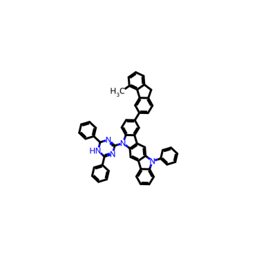 Cc1cccc2c1-c1cc(-c3ccc4c(c3)c3cc5c(cc3n4C3=NC(c4ccccc4)NC(c4ccccc4)=N3)c3ccccc3n5-c3ccccc3)ccc1C2